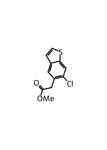 COC(=O)Cc1cc2ccsc2cc1Cl